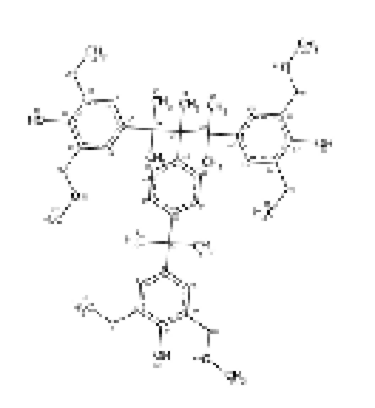 CCc1cc(C(C)(C)c2ccc(C(C)(C(C)(C)c3cc(CC)c(O)c(COC)c3)C(C)(C)c3cc(CC)c(O)c(COC)c3)cc2)cc(COC)c1O